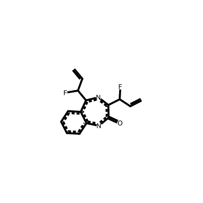 C=CC(F)c1nc(C(F)C=C)c2ccccc2nc1=O